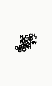 Cc1cc([C@H](Nc2nc3c(nc2Nc2cccc(S(=O)(=O)N4CCCC4)c2O)=NCN=3)C(C)C)oc1C